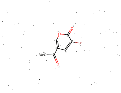 COC(=O)c1coc(=O)c(Br)c1